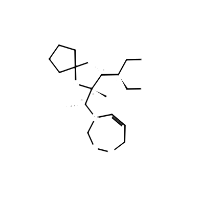 C[C@@]1([C@@H](O)N2C=CCOOC2)OC2(CCCC2)O[C@@H]1[C@H](CO)CF